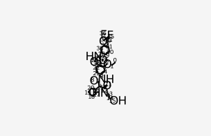 CCOc1cc(NC(=O)C(C(=O)NCCO)C2CCCC2)ccc1S(=O)(=O)Nc1cccc(OC(F)(F)F)c1